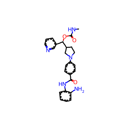 CNC(=O)O[C@H](c1cccnc1)C1CCN(c2ccc(C(=O)Nc3ccccc3N)cc2)C1